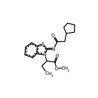 CCC(C(=O)OC)n1c(=NC(=O)CC2CCCC2)sc2ccccc21